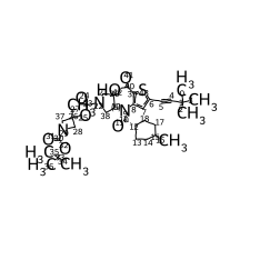 CC(C)(C)C#Cc1cc(N(C(=O)[C@H]2CC[C@H](C)CC2)[C@H]2CCN(C(=O)OC3(C)CN(C(=O)OC(C)(C)C)C3)C2)c(C(=O)O)s1